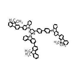 CC1(C)c2ccccc2-c2ccc(-c3ccc4c(c3)c3ccccc3n4-c3ccc(-c4ccc(-c5cc(-n6c7ccccc7c7cc(-c8ccc9c(c8)C(C)(C)c8ccccc8-9)ccc76)nc(-n6c7ccccc7c7cc(-c8ccc9c(c8)C(C)(C)c8ccccc8-9)ccc76)n5)cc4)cc3)cc21